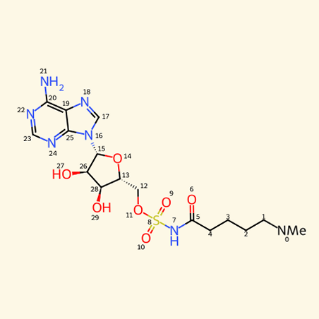 CNCCCCC(=O)NS(=O)(=O)OC[C@H]1O[C@@H](n2cnc3c(N)ncnc32)[C@H](O)[C@@H]1O